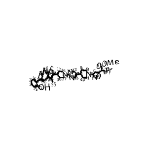 COC(=O)C(c1cc(N2CCC(c3cnc(N4CCC(c5sc6nnc(-c7ccccc7O)cc6c5C)CC4)nc3)CC2)no1)C(C)C